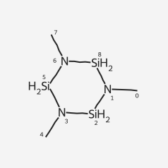 CN1[SiH2]N(C)[SiH2]N(C)[SiH2]1